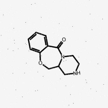 O=C1c2ccccc2OCC2CNCCN12